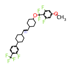 COc1cc(F)c(C(F)(F)OC2CCC(/C=C/C3CCC(c4ccc(C(F)(F)F)c(F)c4)CC3)CC2)c(F)c1